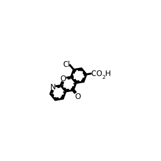 O=C(O)c1cc(Cl)c2oc3ncccc3c(=O)c2c1